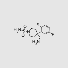 NCC1(c2cc(F)ccc2F)CCN(S(N)(=O)=O)CC1